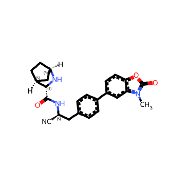 Cn1c(=O)oc2ccc(-c3ccc(C[C@@H](C#N)NC(=O)[C@H]4N[C@@H]5CC[C@H]4C5)cc3)cc21